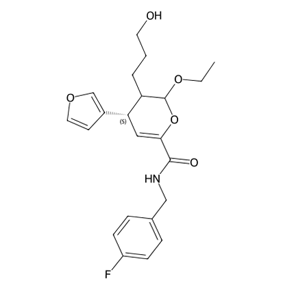 CCOC1OC(C(=O)NCc2ccc(F)cc2)=C[C@H](c2ccoc2)C1CCCO